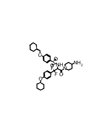 NC1CCN(C(=O)C(NS(=O)(=O)c2ccc(OCC3CCCCC3)cc2)C(F)(F)c2ccc(OC3CCCCC3)cc2)CC1